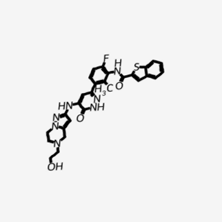 Cc1c(-c2cc(Nc3cc4n(n3)CCN(CCO)C4)c(=O)[nH]n2)ccc(F)c1NC(=O)c1cc2ccccc2s1